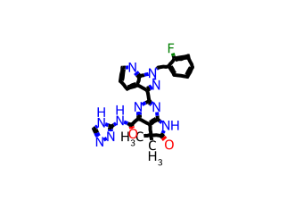 CC1(C)C(=O)Nc2nc(-c3nn(Cc4ccccc4F)c4ncccc34)nc(C(=O)Nc3nnc[nH]3)c21